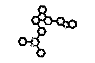 C1=C(c2ccc3c(c2)sc2ccccc23)CCc2c1c1ccccc1c1cccc(-c3cccc(C4=CC(c5ccccc5)NC(c5ccccc5)=N4)c3)c21